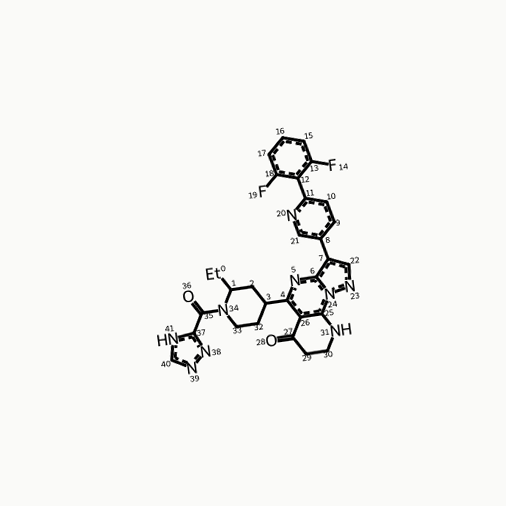 CCC1CC(c2nc3c(-c4ccc(-c5c(F)cccc5F)nc4)cnn3c3c2C(=O)CCN3)CCN1C(=O)c1nnc[nH]1